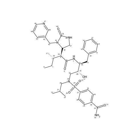 CC[C@H](C)[C@H](C(=O)N[C@@H](Cc1ccccc1)[C@H](O)CN(CC(C)C)S(=O)(=O)c1ccc(C(N)=O)cc1)C1CNC(=O)N1Cc1cccnc1